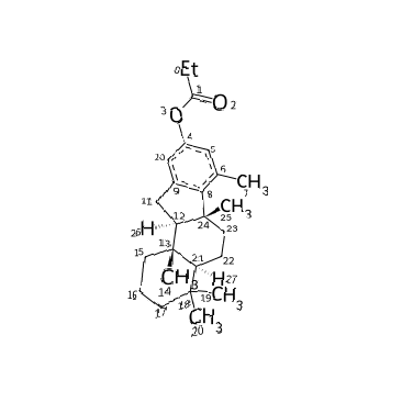 CCC(=O)Oc1cc(C)c2c(c1)C[C@@H]1[C@@]3(C)CCCC(C)(C)[C@@H]3CC[C@@]21C